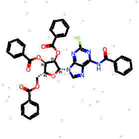 O=C(Nc1nc([18F])nc2c1ncn2[C@@H]1O[C@H](COC(=O)c2ccccc2)[C@@H](OC(=O)c2ccccc2)[C@H]1OC(=O)c1ccccc1)c1ccccc1